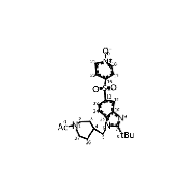 CC(=O)N1CCC(Cn2c(C(C)(C)C)nc3cc(S(=O)(=O)c4cc[n+]([O-])cc4)ccc32)CC1